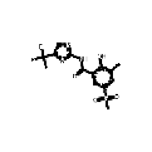 Cc1cc(S(C)(=O)=O)cc(C(=O)Nc2nc(C(F)(F)F)cs2)c1O